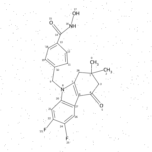 CC1(C)CC(=O)c2c(n(Cc3ccc(C(=O)NO)cc3)c3cc(F)c(F)cc23)C1